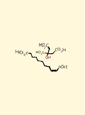 CCCCCCCC/C=C\CCCCCCCC(=O)O.O=C(O)CC(O)(CC(=O)O)C(=O)O